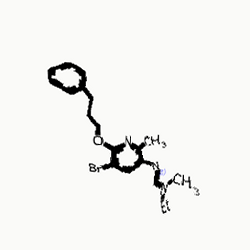 CCN(C)/C=N/c1cc(Br)c(OCCCc2ccccc2)nc1C